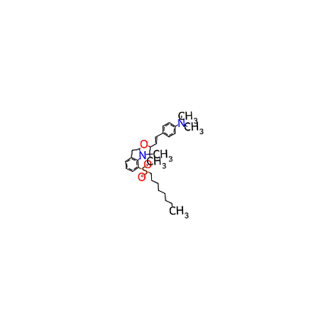 CCCCCCCCS(=O)(=O)c1cccc2c1N1C(C2)OC(C=Cc2ccc(N(C)C)cc2)C1(C)C